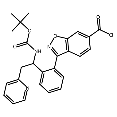 CC(C)(C)OC(=O)NC(Cc1ccccn1)c1ccccc1-c1noc2cc(C(=O)Cl)ccc12